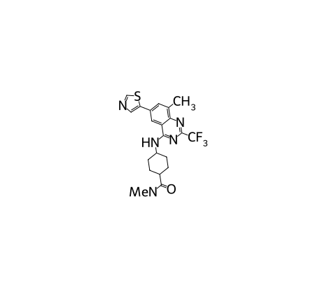 CNC(=O)C1CCC(Nc2nc(C(F)(F)F)nc3c(C)cc(-c4cncs4)cc23)CC1